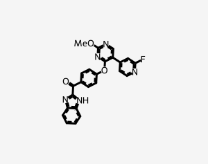 COc1ncc(-c2ccnc(F)c2)c(Oc2ccc(C(=O)c3nc4ccccc4[nH]3)cc2)n1